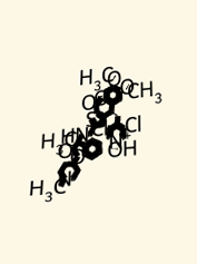 COc1ccc([C@H](Cc2c(Cl)c[n+](O)cc2Cl)c2cc(CNC(C)(C(=O)OC3CCN(C)CC3)c3ccccc3)sc2C(=O)[O-])cc1OC